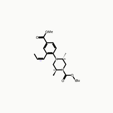 C/C=C\c1cc(C(=O)OC)ccc1N1C[C@H](C)N(C(=O)OC(C)(C)C)C[C@H]1C